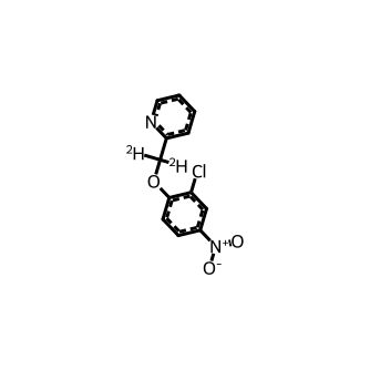 [2H]C([2H])(Oc1ccc([N+](=O)[O-])cc1Cl)c1ccccn1